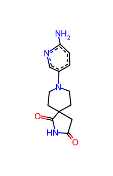 Nc1ccc(N2CCC3(CC2)CC(=O)NC3=O)cn1